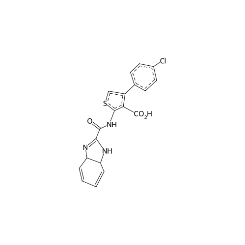 O=C(Nc1scc(-c2ccc(Cl)cc2)c1C(=O)O)C1=NC2C=CC=CC2N1